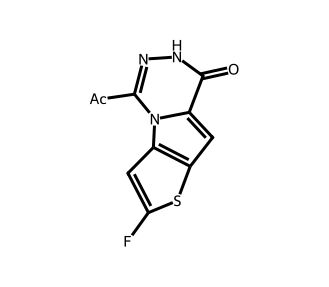 CC(=O)c1n[nH]c(=O)c2cc3sc(F)cc3n12